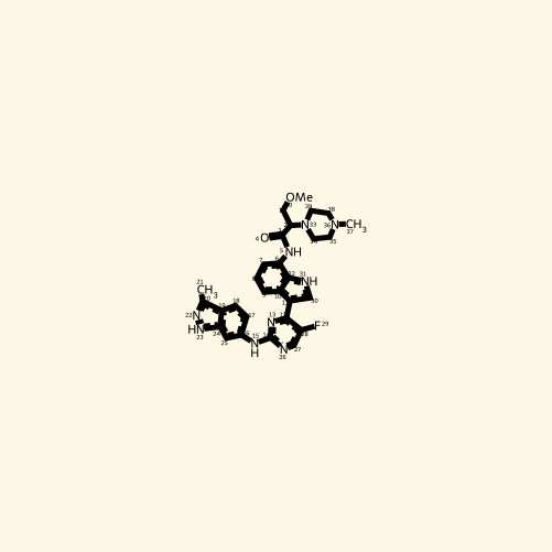 COCC(C(=O)Nc1cccc2c(-c3nc(Nc4ccc5c(C)n[nH]c5c4)ncc3F)c[nH]c12)N1CCN(C)CC1